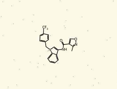 Cc1nocc1C(=O)Nc1cn(Cc2ccc(C(F)(F)F)cc2)c2ccccc12